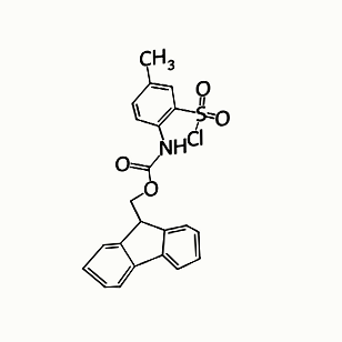 Cc1ccc(NC(=O)OCC2c3ccccc3-c3ccccc32)c(S(=O)(=O)Cl)c1